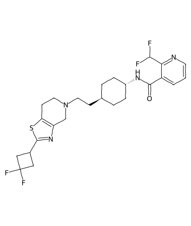 O=C(N[C@H]1CC[C@H](CCN2CCc3sc(C4CC(F)(F)C4)nc3C2)CC1)c1cccnc1C(F)F